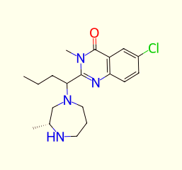 CCCC(c1nc2ccc(Cl)cc2c(=O)n1C)N1CCCN[C@H](C)C1